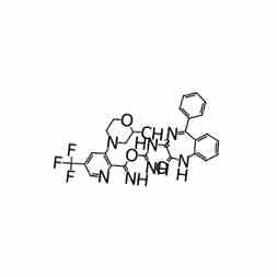 CC1CN(c2cc(C(F)(F)F)cnc2C(=N)OC(=N)NC2N=C(c3ccccc3)c3ccccc3NC2=O)CCO1